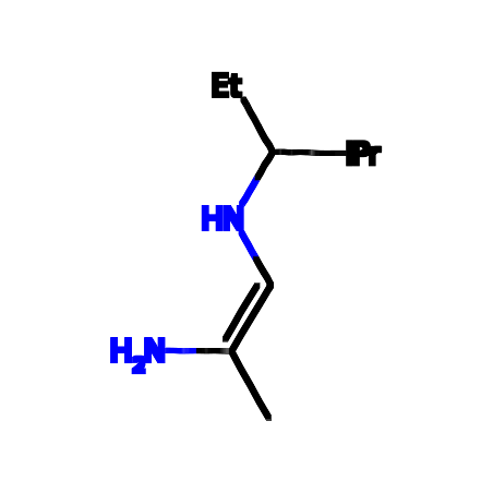 CCC(N/C=C(/C)N)C(C)C